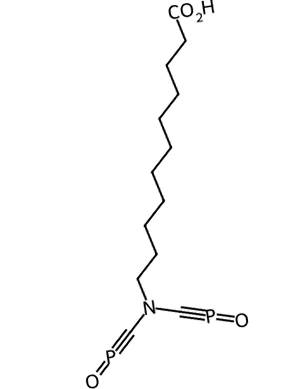 O=P#CN(C#P=O)CCCCCCCCCCC(=O)O